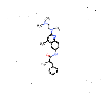 CC(=Cc1ccccc1)C(=O)Nc1ccc2nc(N(C)CCN(C)C)cc(C)c2c1